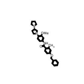 COc1cc(NC(=O)c2ccc(OCc3ccccc3)cc2C)ccc1N1CC[C@@H](N2CCCC2)C1